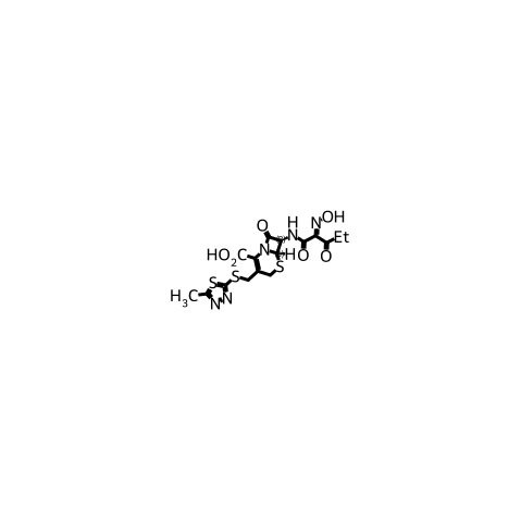 CCC(=O)C(=NO)C(=O)N[C@@H]1C(=O)N2C(C(=O)O)=C(CSc3nnc(C)s3)CS[C@@H]12